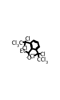 CCC([O])c1c(C(Cl)(Cl)C(Cl)(Cl)Cl)cccc1C(Cl)(Cl)C(Cl)(Cl)Cl